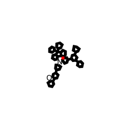 c1ccc(-c2cc(-c3ccccc3)cc(-c3ccc(N(c4ccc(-c5ccc6c(c5)oc5ccccc56)cc4)c4cccc5c4-c4ccccc4C5(c4ccccc4)c4ccccc4)cc3)c2)cc1